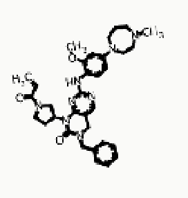 C=CC(=O)N1CC[C@H](N2C(=O)N(Cc3ccccc3)Cc3cnc(Nc4ccc(N5CCCN(C)CC5)cc4OC)nc32)C1